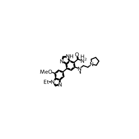 CCn1cnc2cc(-c3cc(N(C)CCN4CCCC4)c(C(N)=O)c4[nH]cnc34)cc(OC)c21